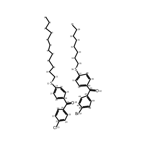 CCCCCCCCCCCCSc1ccc(C(=O)c2ccc(Cl)cc2)cc1.CCCCCCCCSc1ccc(C(=O)c2ccc(Br)cc2)cc1